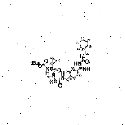 CC(C)(C)OC(=O)N[C@@H](C(=O)N1CC[C@H]1C(=O)NCc1ccc(C(=N)NC(=O)OCc2ccccc2)cc1)C1CC1